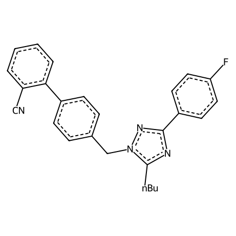 CCCCc1nc(-c2ccc(F)cc2)nn1Cc1ccc(-c2ccccc2C#N)cc1